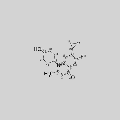 Cc1cc(=O)c2cc(F)c(C3CC3)cc2n1C1CCC(O)CC1